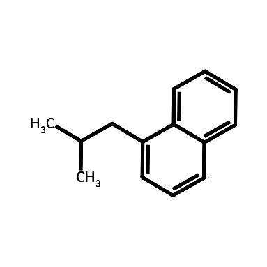 CC(C)Cc1cc[c]c2ccccc12